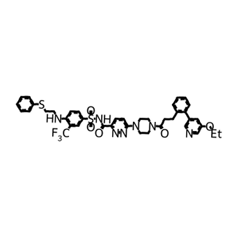 CCOc1cncc(-c2ccccc2CCC(=O)N2CCN(c3ccc(C(=O)NS(=O)(=O)c4ccc(NCCSc5ccccc5)c(C(F)(F)F)c4)nn3)CC2)c1